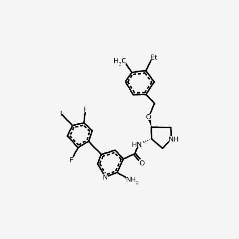 CCc1cc(CO[C@H]2CNC[C@@H]2NC(=O)c2cc(-c3cc(F)c(I)cc3F)cnc2N)ccc1C